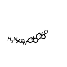 CC(C)(N)CON=C1CC[C@@]2(C)C(CCC3C2CC[C@]2(C)C(=O)CCC32)C1